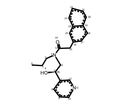 CCCN(C[C@H](O)c1cccnc1)C(=O)Cc1ccc2ccccc2c1